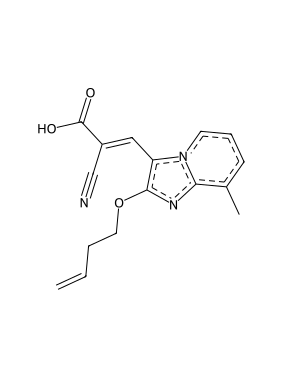 C=CCCOc1nc2c(C)cccn2c1C=C(C#N)C(=O)O